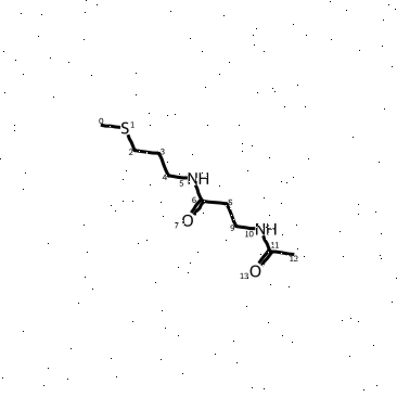 CSCCCNC(=O)CCNC(C)=O